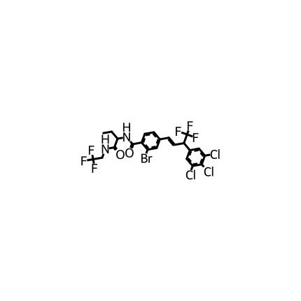 CCC(NC(=O)c1ccc(/C=C/C(c2cc(Cl)c(Cl)c(Cl)c2)C(F)(F)F)cc1Br)C(=O)NCC(F)(F)F